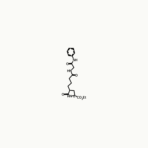 CCOC(=O)[C@@H]1CC(CCCC(=O)NCC(=O)Nc2ccccc2)C(=O)N1